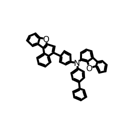 c1ccc(-c2ccc(N(c3ccc(-c4cc5oc6ccccc6c5c5ccccc45)cc3)c3cccc4c3oc3ccccc34)cc2)cc1